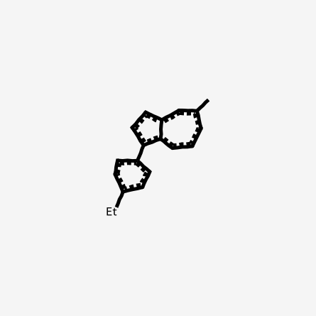 CCc1ccc(-c2ccc3cc(C)cccc2-3)cc1